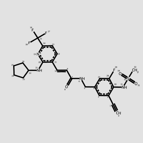 C#Cc1cc(CNC(=O)/C=C/c2ccc(C(F)(F)F)nc2NC2CCCC2)cc(F)c1NS(C)(=O)=O